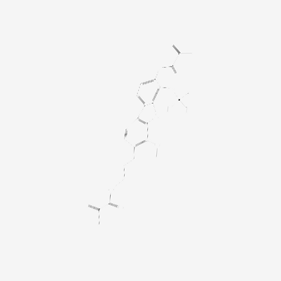 C=C(C)C(=O)OCCCc1ccc2c(sc3c(OC(F)(F)F)c(OC(=O)C(=C)C)ccc32)c1OC